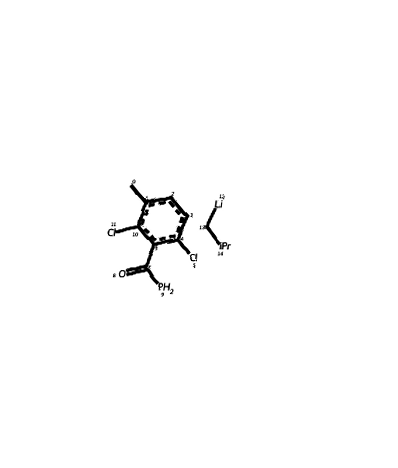 Cc1ccc(Cl)c(C(=O)P)c1Cl.[Li][CH2]C(C)C